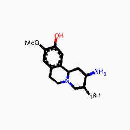 CCCCC1CN2CCc3cc(OC)c(O)cc3C2CC1N